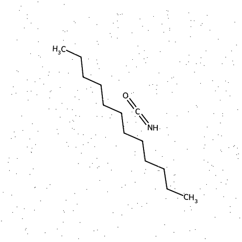 CCCCCCCCCCCC.N=C=O